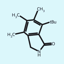 Cc1c(C)c2c(c(C(C)(C)C)c1C)C(=O)NC2